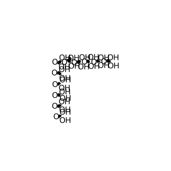 O=C(O)O.O=C(O)O.O=C(O)O.O=C(O)O.O=C(O)O.O=C(O)O.O=C(O)O.O=C(O)O.O=C(O)O.O=C(O)O.O=C(O)O